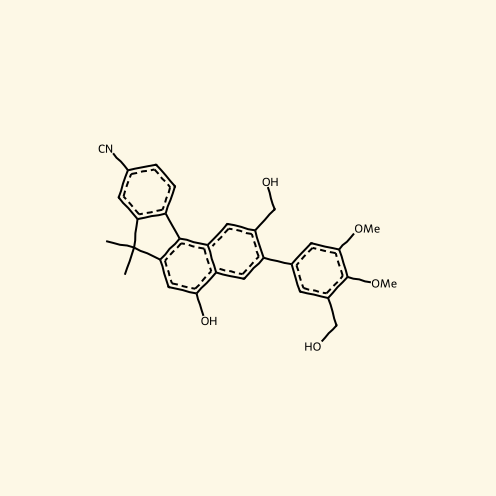 [C-]#[N+]c1ccc2c(c1)C(C)(C)c1cc(O)c3cc(-c4cc(CO)c(OC)c(OC)c4)c(CO)cc3c1-2